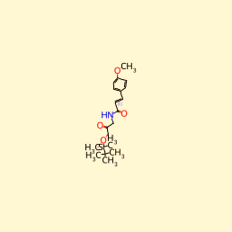 COc1ccc(/C=C/C(=O)NCC(=O)CO[Si](C)(C)C(C)(C)C)cc1